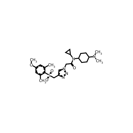 COc1cc(C)c(S(=O)(=O)Cc2cn(CC(=O)N(C3CCC(N(C)C)CC3)C3CC3)nn2)c(C)c1